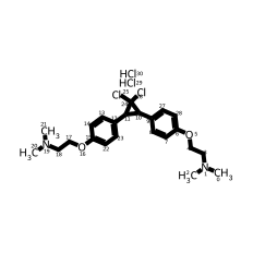 CN(C)CCOc1ccc(C2C(c3ccc(OCCN(C)C)cc3)C2(Cl)Cl)cc1.Cl.Cl